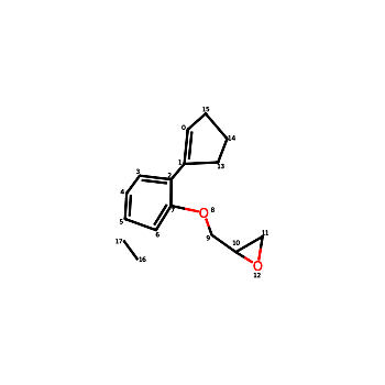 C1=C(c2ccccc2OCC2CO2)CCC1.CC